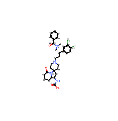 CN(C[C@@H](CCN1CCC(CCNC(=O)O)(N2CCCCC2=O)CC1)c1ccc(Cl)c(Cl)c1)C(=O)c1ccccc1